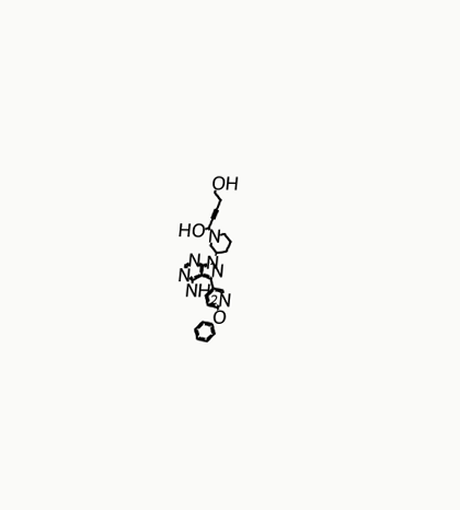 Nc1ncnc2c1c(-c1ccc(Oc3ccccc3)nc1)nn2[C@@H]1CCCN(C(O)C#CCCO)C1